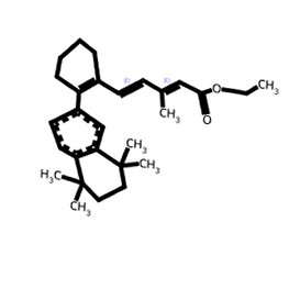 CCOC(=O)/C=C(C)/C=C/C1=C(c2ccc3c(c2)C(C)(C)CCC3(C)C)CCCC1